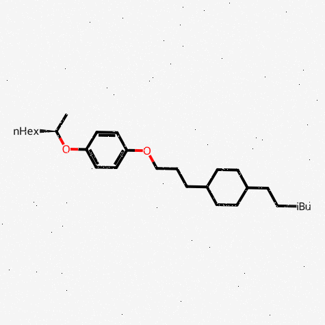 CCCCCC[C@@H](C)Oc1ccc(OCCCC2CCC(CCC(C)CC)CC2)cc1